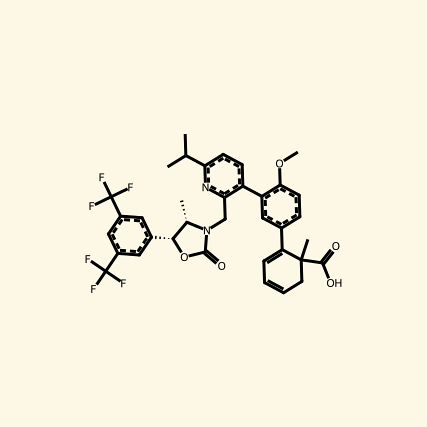 COc1ccc(C2=CC=CCC2(C)C(=O)O)cc1-c1ccc(C(C)C)nc1CN1C(=O)O[C@H](c2cc(C(F)(F)F)cc(C(F)(F)F)c2)[C@@H]1C